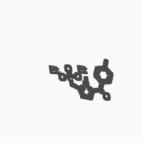 CCOP(=O)(Cc1ccc(C(=O)c2ccc(C)cc2)n1C)OCC